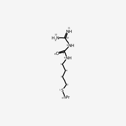 CCCSCCCCNC(=O)NC(=N)N